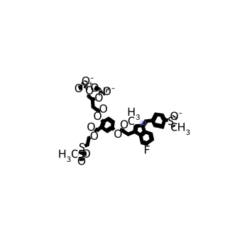 CC1=C(CC(=O)Oc2ccc(OC(=O)CC(CO[N+](=O)[O-])O[N+](=O)[O-])c(C(=O)OCCSS(C)(=O)=O)c2)c2cc(F)ccc2/C1=C\c1ccc([S+](C)[O-])cc1